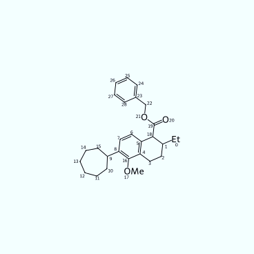 CCC1CCc2c(ccc(C3CCCCCC3)c2OC)C1C(=O)OCc1ccccc1